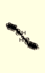 O=C(NCCCCCCNC(=O)OCCC(F)(F)C(F)(F)C(F)(F)C(F)(F)C(F)(F)C(F)(F)F)OCCC(F)(F)C(F)(F)C(F)(F)C(F)(F)C(F)(F)C(F)(F)F